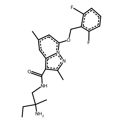 CCC(C)(N)CNC(=O)c1c(C)nn2c(OCc3c(F)cccc3F)cc(C)cc12